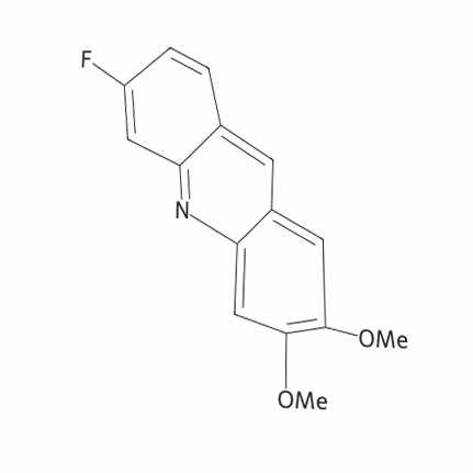 COc1cc2cc3ccc(F)cc3nc2cc1OC